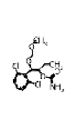 CC[C@@H](OC(N)=O)[C@H](OCOC)c1c(Cl)cccc1Cl